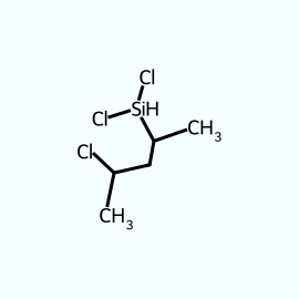 CC(Cl)CC(C)[SiH](Cl)Cl